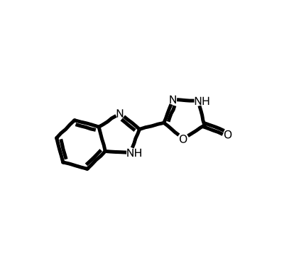 O=c1[nH]nc(-c2nc3ccccc3[nH]2)o1